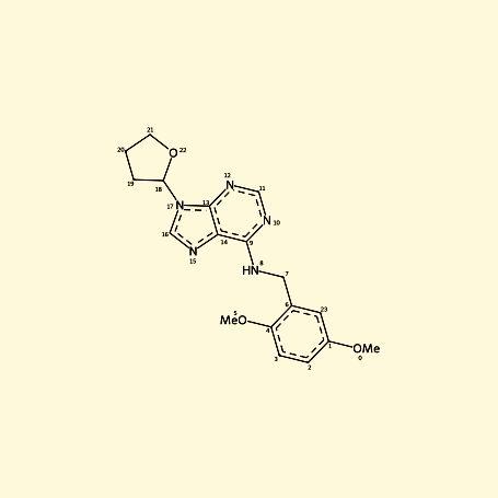 COc1ccc(OC)c(CNc2ncnc3c2ncn3C2CCCO2)c1